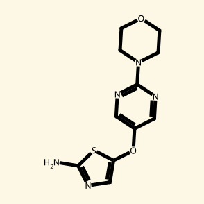 Nc1ncc(Oc2cnc(N3CCOCC3)nc2)s1